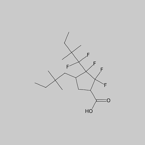 CCC(C)(C)CC1CC(C(=O)O)C(F)(F)C1(F)C(F)(F)C(C)(C)CC